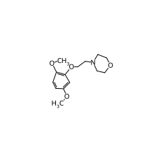 COc1ccc(OC)c(OCCN2CCOCC2)c1